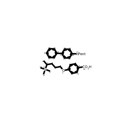 CC(CCCOc1ccc(C(=O)O)cc1)[Si](C)(C)C.CCCCCc1ccc(-c2ccccc2)cc1